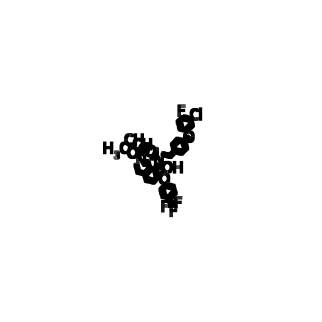 CC(C)(C)OC(=O)N1CCc2ccc(Oc3ccc(C(F)(F)F)cc3)cc2[C@H]1C(=O)N(CCc1ccc(Oc2ccc(F)c(Cl)c2)cc1)C(=O)O